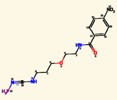 O=C(NCCOCCCN/B=N/P)c1ccc([N+](=O)[O-])cc1